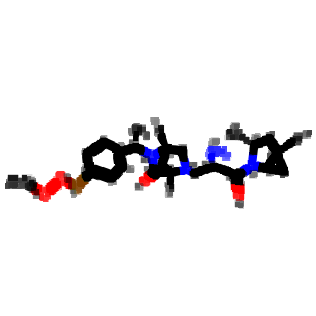 CNOOSc1ccc([C@H](C)N2C(=O)[C@@H]3C[C@H]2CN3C[C@H](N)C(=O)N2C3C[C@H]3C[C@H]2C#N)cc1